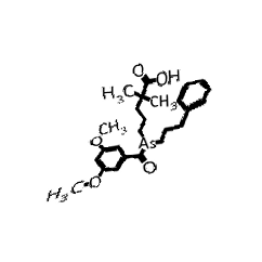 COc1cc(OC)cc(C(=O)[As](CCCc2ccccc2)CCCC(C)(C)C(=O)O)c1